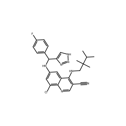 CC(C)C(C)(C)CNc1c(C#N)cnc2c(Cl)cc(NC(c3ccc(F)cc3)c3c[nH]nn3)cc12